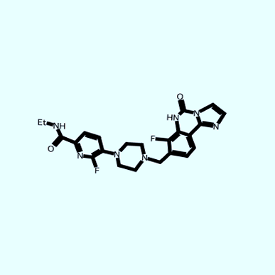 CCNC(=O)c1ccc(N2CCN(Cc3ccc4c([nH]c(=O)n5ccnc45)c3F)CC2)c(F)n1